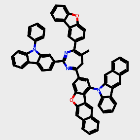 CC1=C(c2ccc3oc4ccccc4c3c2)N=C(c2ccc3c4ccccc4n(-c4ccccc4)c3c2)N=C(c2cc(-n3c4ccccc4c4cc5ccccc5cc43)c3c(c2)oc2cc4ccccc4cc23)C1